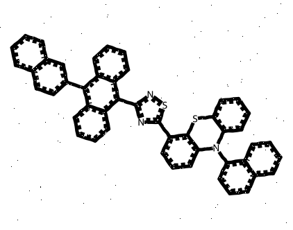 c1ccc2c(c1)Sc1c(-c3nc(-c4c5ccccc5c(-c5ccc6ccccc6c5)c5ccccc45)ns3)cccc1N2c1cccc2ccccc12